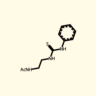 CC(=O)NCCNC(=S)Nc1ccccc1